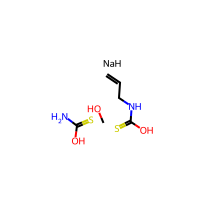 C=CCNC(O)=S.CO.NC(O)=S.[NaH]